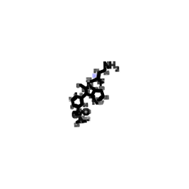 Cc1c(-c2cccc(S(=O)(=O)N(C)C)c2)c2ncccc2n1C/C(F)=C/CN